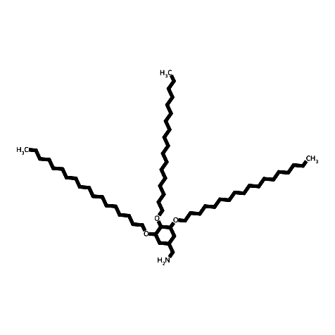 CCCCCCCCCCCCCCCCCCOC1CC(CN)CC(OCCCCCCCCCCCCCCCCCC)C1OCCCCCCCCCCCCCCCCCC